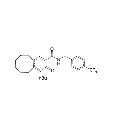 CCCCn1c2c(cc(C(=O)NCc3ccc(C(F)(F)F)cc3)c1=O)CCCCCC2